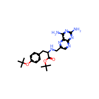 CC(C)(C)OC(=O)C(Cc1ccc(OC(C)(C)C)cc1)NCc1cnc2nc(N)nc(N)c2n1